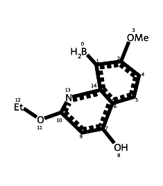 Bc1c(OC)ccc2c(O)cc(OCC)nc12